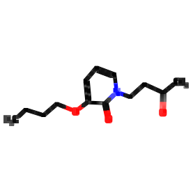 CCCCOc1cccn(CCC(C)=O)c1=O